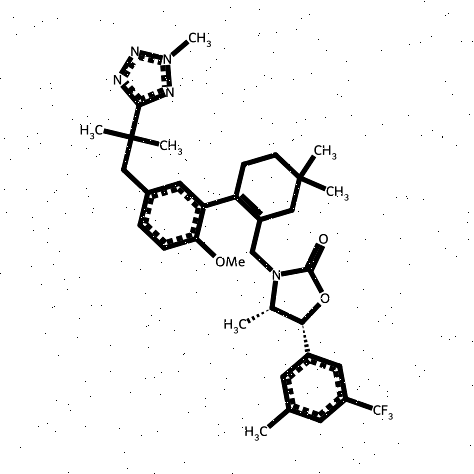 COc1ccc(CC(C)(C)c2nnn(C)n2)cc1C1=C(CN2C(=O)O[C@H](c3cc(C)cc(C(F)(F)F)c3)[C@@H]2C)CC(C)(C)CC1